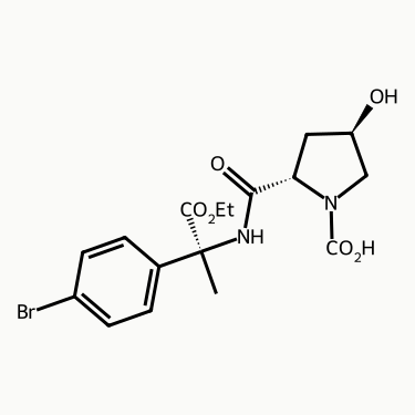 CCOC(=O)[C@@](C)(NC(=O)[C@@H]1C[C@@H](O)CN1C(=O)O)c1ccc(Br)cc1